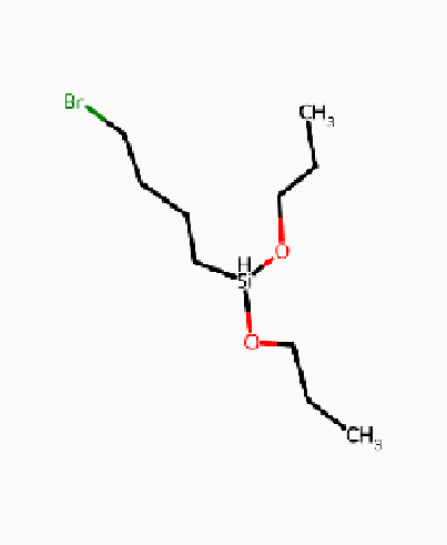 CCCO[SiH](CCCCBr)OCCC